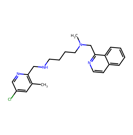 Cc1cc(Cl)cnc1CNCCCCN(C)Cc1nccc2ccccc12